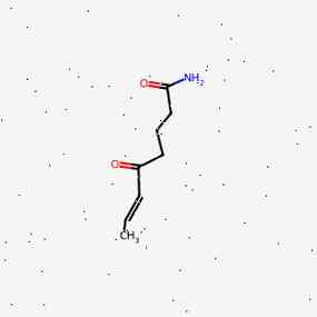 C/C=C/C(=O)CCCC(N)=O